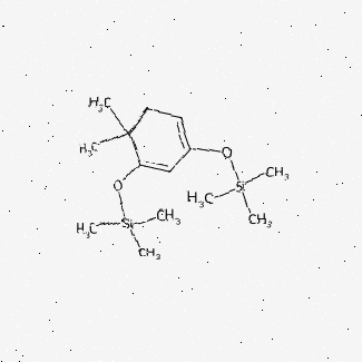 CC1(C)CC=C(O[Si](C)(C)C)C=C1O[Si](C)(C)C